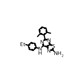 CCc1ccc(Nc2nc(-c3c(C)cccc3C)nc3sc(N)nc23)cc1